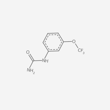 NC(=O)Nc1cccc(OC(F)(F)F)c1